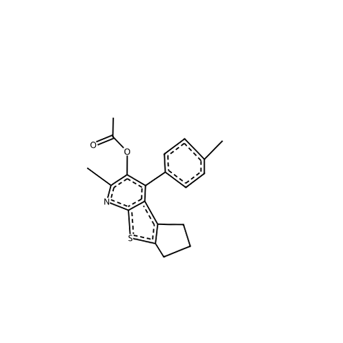 CC(=O)Oc1c(C)nc2sc3c(c2c1-c1ccc(C)cc1)CCC3